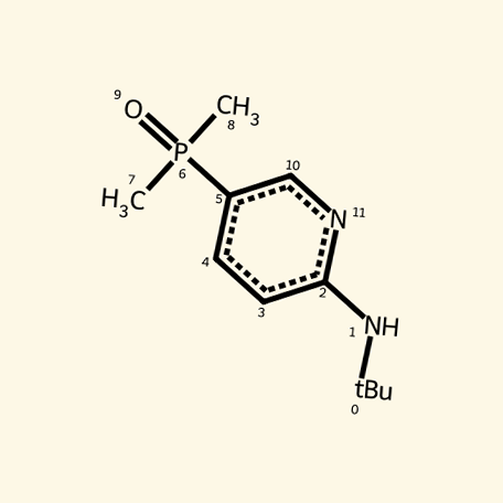 CC(C)(C)Nc1ccc(P(C)(C)=O)cn1